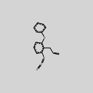 C=CCc1c(N=C=O)cccc1Oc1ccccc1